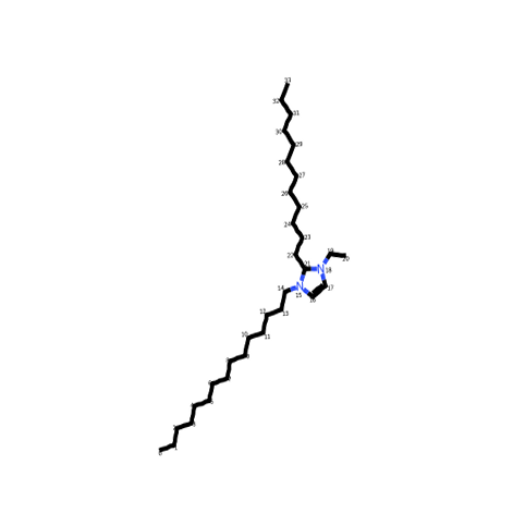 CCCCCCCCCCCCCCCN1C=CN(CC)C1CCCCCCCCCCCC